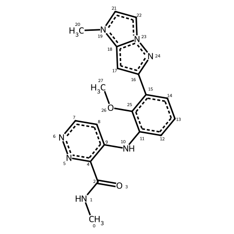 CNC(=O)c1nnccc1Nc1cccc(-c2cc3n(C)ccn3n2)c1OC